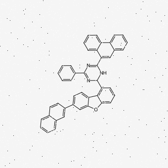 c1ccc(C2=NC(c3cccc4oc5cc(-c6ccc7ccccc7c6)ccc5c34)NC(c3cc4ccccc4c4ccccc34)=N2)cc1